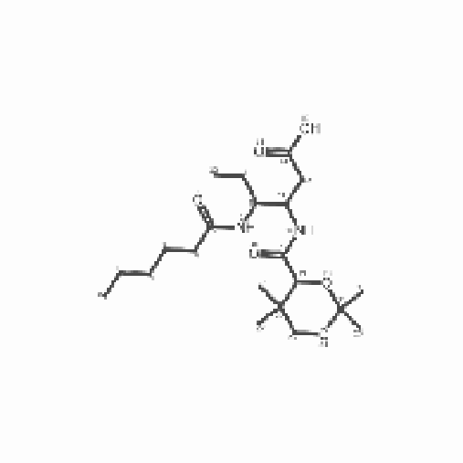 CCCCCC(=O)NC(CC)C(CC(=O)O)NC(=O)C1OC(C)(C)OCC1(C)C